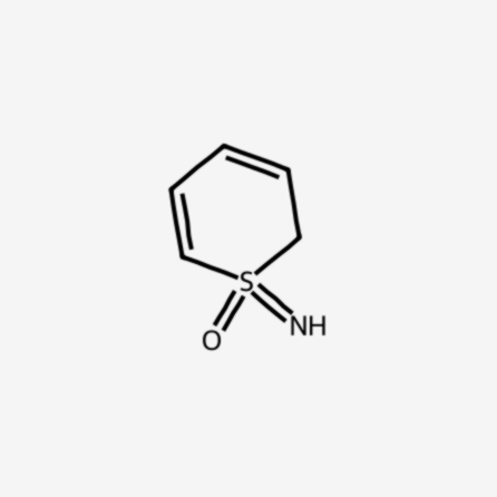 N=S1(=O)C=CC=CC1